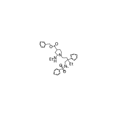 CCNC1CC(C(=O)OCc2ccccc2)CCN1CCC(CC)(CN(C)S(=O)(=O)c1ccccc1)c1ccccc1